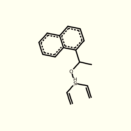 C=C[SiH](C=C)OC(C)c1cccc2ccccc12